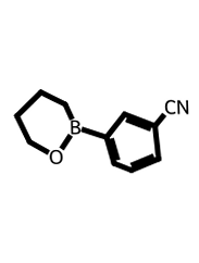 N#Cc1cccc(B2CCCCO2)c1